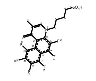 C=C1C(C)=CN(CCCCS(=O)(=O)O)c2c(F)c(F)c3c(F)c(F)c(F)c(F)c3c21